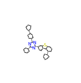 c1ccc(-c2ccc(-c3nc(-c4ccccc4)nc(-c4ccc5c(c4)sc4cccc(-c6ccccc6)c45)n3)cc2)cc1